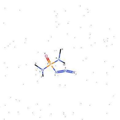 CN(C)P(=O)(N=[N+]=[N-])N(C)C